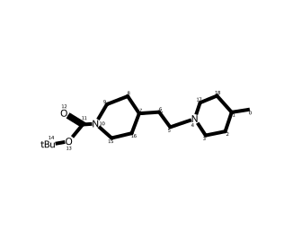 CC1CCN(C[CH]C2CCN(C(=O)OC(C)(C)C)CC2)CC1